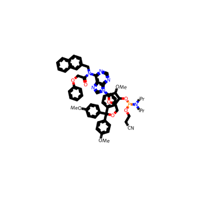 COc1ccc(C(OCC2OC(n3cnc4c(N(Cc5ccc6ccccc6c5)C(=O)COc5ccccc5)ncnc43)C(OC)C2OP(OCCC#N)N(C(C)C)C(C)C)(c2ccccc2)c2ccc(OC)cc2)cc1